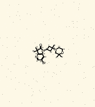 CC1(C)CN(C2(C)CC(N3C(=O)C(C)(C)c4ncc(Br)cc43)C2)CCO1